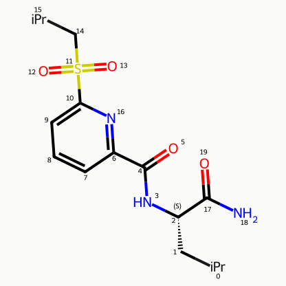 CC(C)C[C@H](NC(=O)c1cccc(S(=O)(=O)CC(C)C)n1)C(N)=O